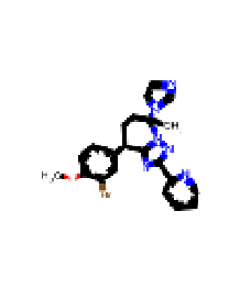 COc1ccc(C2CCC(C)(n3ccnc3)n3nc(-c4ccccn4)nc32)cc1Br